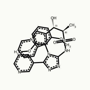 COc1cccc(OC)c1-n1c(NS(=O)(=O)[C@H](C)[C@@H](O)c2cn3ccccc3n2)nnc1-c1cccnc1